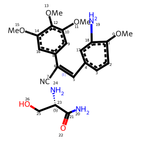 COc1ccc(/C=C(/C#N)c2cc(OC)c(OC)c(OC)c2)cc1N.NC(=O)[C@@H](N)CO